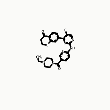 CCN1CCN(C(=O)c2ccc(Nc3ncc(F)c(-c4ccc5c(c4)OCCC5=O)n3)nc2)CC1